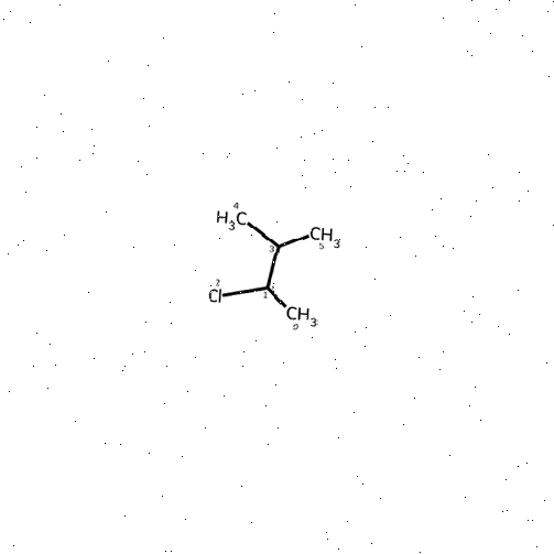 C[C](Cl)C(C)C